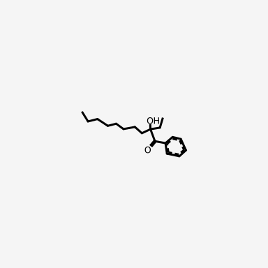 CCCCCCCCC(O)(CC)C(=O)c1ccccc1